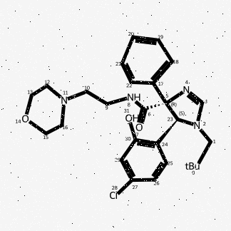 CC(C)(C)CN1C=N[C@](C(=O)NCCN2CCOCC2)(c2ccccc2)[C@@H]1c1ccc(Cl)cc1O